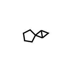 C1CCC2(C1)C1CC12